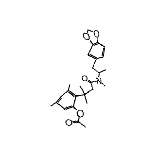 CC(=O)Oc1cc(C)cc(C)c1C(C)(C)CC(=O)N(C)C(C)Cc1ccc2c(c1)OCO2